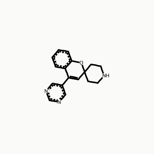 C1=C(c2cncnc2)c2ccccc2OC12CCNCC2